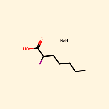 CCCCCC(I)C(=O)O.[NaH]